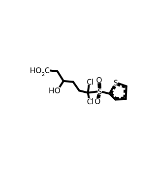 O=C(O)CC(O)CCC(Cl)(Cl)S(=O)(=O)c1cccs1